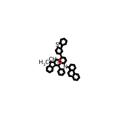 CC1(C)c2ccccc2-c2c(-c3ccccc3N(c3ccc(-c4ccc5sc6ccccc6c5c4)cc3)c3cccc4c3ccc3ccccc34)cccc21